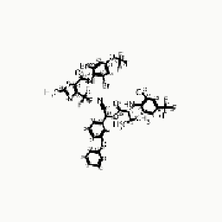 CC(C)[C@@H](Nc1ccc(C(F)(F)F)cc1Cl)C(=O)OC(C#N)c1cccc(Oc2ccccc2)c1.Cc1nc(C(F)(F)F)c(C(=O)Nc2c(Br)cc(OC(F)(F)F)cc2Br)s1